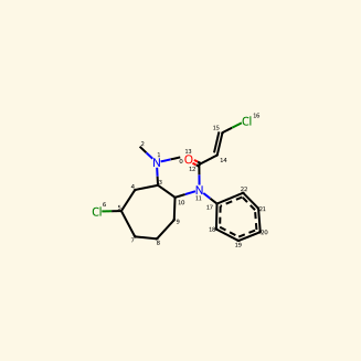 CN(C)C1CC(Cl)CCCC1N(C(=O)C=CCl)c1ccccc1